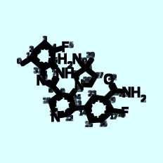 Cc1ccc(F)c2[nH]c(-c3cncc(-c4ccc(F)c(C(N)=O)c4)c3N3CCC(C)(N)C3)nc12